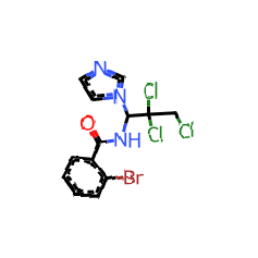 O=C(NC(n1ccnc1)C(Cl)(Cl)CCl)c1ccccc1Br